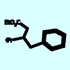 CCOC(=O)CC(Cc1ccccc1)[C](C)C